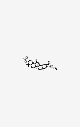 C=CCONC(=O)[C@@]1(C)CC[C@]2(C)CC[C@]3(C)C(=CC(=O)C4[C@@]5(C)CC[C@H](OC(C)=O)C(C)(C)C5CC[C@]43C)C2C1